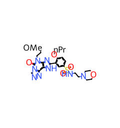 CCCOc1ccc(S(=O)(=O)NCCN2CCOCC2)cc1-c1nc2c([nH]1)c1nncn1c(=O)n2CCOC